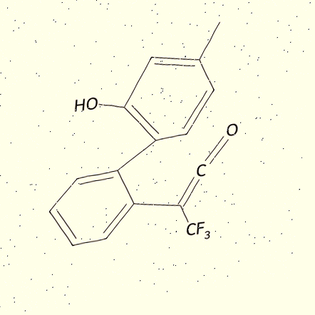 Cc1ccc(-c2ccccc2C(=C=O)C(F)(F)F)c(O)c1